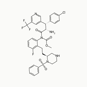 COC(=O)N(C(=O)[C@@H](N)[C@@H](c1ccc(Cl)cc1)c1cncc(C(F)(F)F)c1)c1cccc(F)c1CC[C@H]1CNCCN1S(=O)(=O)c1ccccc1